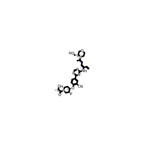 C=C/C(=C\C=C(/C)N1CCOC[C@H]1CO)Nc1ncnc(-c2ccc(O[C@H]3CCN(C(=O)[C@H](C)O)C[C@H]3F)c(C#N)c2)n1